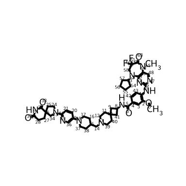 COc1cc(C(=O)NC2CC3(CCN(CC4CCN(c5ccc(N6CCC7(CCC(=O)NC7=O)C6)nc5)CC4)CC3)C2)ccc1Nc1ncc2c(n1)N(C1CCCC1)CC(F)(F)C(=O)N2C